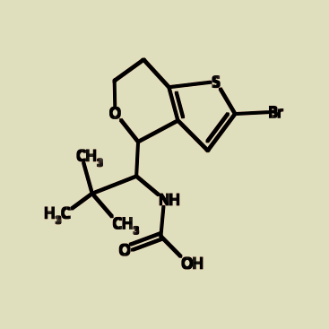 CC(C)(C)C(NC(=O)O)C1OCCc2sc(Br)cc21